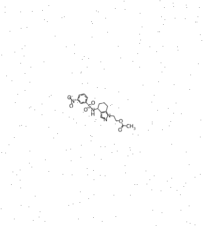 CC(=O)OCCn1ncc2c1CCCC2NS(=O)(=O)c1cccc([N+](=O)[O-])c1